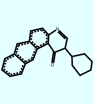 O=C1c2c(ccc3cc4ccccc4cc23)N=CC1C1CCCCC1